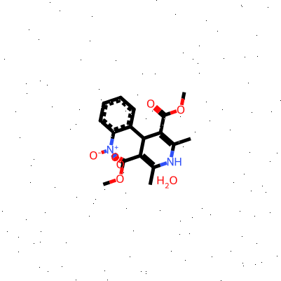 COC(=O)C1=C(C)NC(C)=C(C(=O)OC)C1c1ccccc1[N+](=O)[O-].O